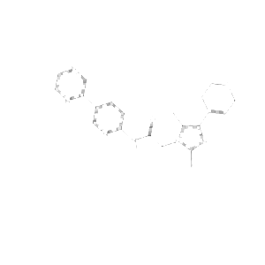 Cc1nc(C2=CCOCC2)c(C)n1CC(=O)Nc1ccc(-c2cnccn2)cn1